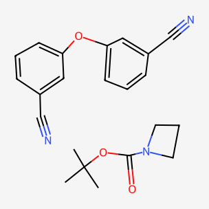 CC(C)(C)OC(=O)N1CCC1.N#Cc1cccc(Oc2cccc(C#N)c2)c1